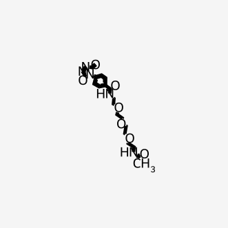 CC(=O)NCCOCCOCCOCCNC(=O)c1ccc(N2C(=O)N=NC2=O)cc1